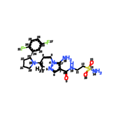 C=C(/C=C\n1ncc(C(=O)NCCS(N)(=O)=O)c1N)N1CCC[C@@H]1c1cc(F)ccc1F